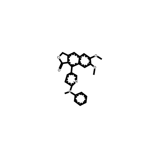 COc1cc2cc3c(c(-c4ccc(N(C)c5ccccc5)nc4)c2cc1OC)C(=O)OC3